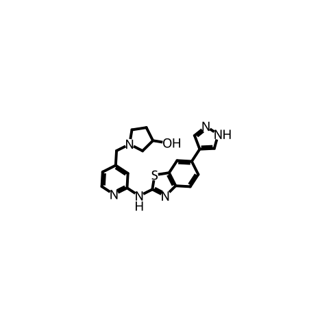 OC1CCN(Cc2ccnc(Nc3nc4ccc(-c5cn[nH]c5)cc4s3)c2)C1